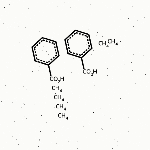 C.C.C.C.C.C.O=C(O)c1ccccc1.O=C(O)c1ccccc1